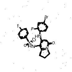 O=c1cc(Nc2ccc(Br)cc2F)c(NS(=O)(=O)c2ccc(F)cc2)c2n1CCC2